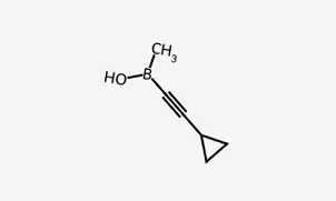 CB(O)C#CC1CC1